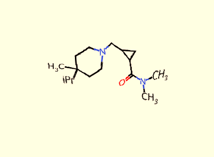 CC(C)C1(C)CCN(CC2CC2C(=O)N(C)C)CC1